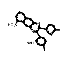 Cc1ccc(-c2nc3cc4cccc(S(=O)(=O)O)c4cc3nc2-c2ccc(C)cc2)cc1.[NaH]